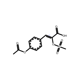 CC(=O)Oc1ccc(/C=C(\OS(C)(=O)=O)C(=O)O)cc1